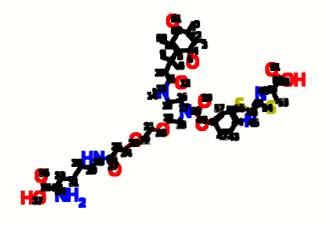 CC1=C(C)C(=O)C(C(C)(C)CC(=O)N(C)CCN(CCOCCOCCC(=O)NCCCCC(N)C(=O)O)C(=O)Oc2ccc3nc(C4=NC(C(=O)O)CS4)sc3c2)=C(C)C1=O